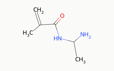 C=C(C)C(=O)NC(C)N